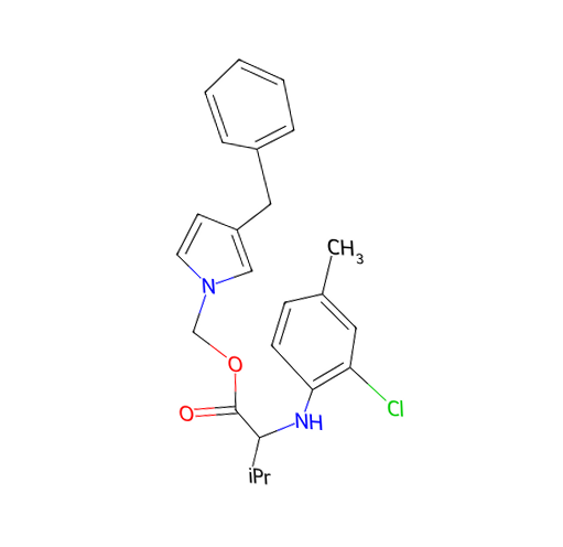 Cc1ccc(NC(C(=O)OCn2ccc(Cc3ccccc3)c2)C(C)C)c(Cl)c1